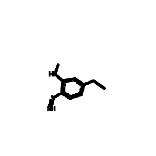 CCc1ccc(N=N)c(NC)c1